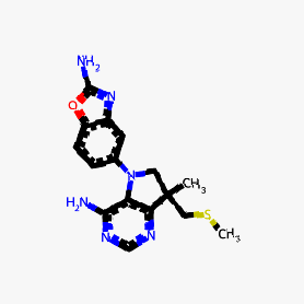 CSCC1(C)CN(c2ccc3oc(N)nc3c2)c2c(N)ncnc21